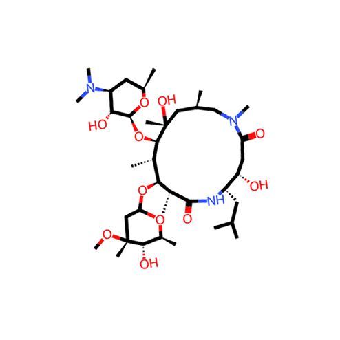 CO[C@]1(C)CC(O[C@H]2[C@H](C)[C@@H](O[C@@H]3O[C@H](C)C[C@H](N(C)C)[C@H]3O)[C@](C)(O)C[C@@H](C)CN(C)C(=O)C[C@H](O)[C@H](CC(C)C)NC(=O)[C@@H]2C)O[C@@H](C)[C@@H]1O